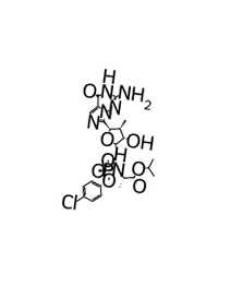 CC(C)OC(=O)[C@H](C)NP(=O)(OC[C@H]1O[C@@H](c2ncc3c(=O)[nH]c(N)nn23)[C@@H](C)[C@@H]1O)Oc1ccc(Cl)cc1